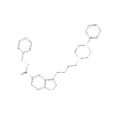 O=C(NCc1ccccc1)c1ccc2[nH]cc(CCCCN3CCN(c4ccccc4)CC3)c2c1